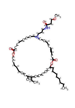 CCCCCCCCC1CCCCCC(CC)C(C)CCCCCCCOC(=O)CCCCCCCN(CCCNC(=O)CCOC)CCCC/C=C/CC(=O)O1